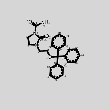 NC(=O)N1CCN(CCOC(c2ccccc2)(c2ccccc2)c2ccccc2)C1=O